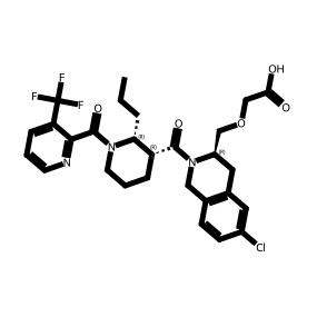 CCC[C@@H]1[C@H](C(=O)N2Cc3ccc(Cl)cc3C[C@@H]2COCC(=O)O)CCCN1C(=O)c1ncccc1C(F)(F)F